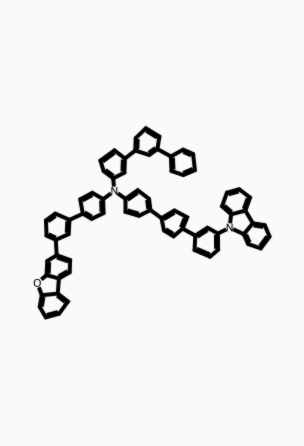 c1ccc(-c2cccc(-c3cccc(N(c4ccc(-c5ccc(-c6cccc(-n7c8ccccc8c8ccccc87)c6)cc5)cc4)c4ccc(-c5cccc(-c6ccc7c(c6)oc6ccccc67)c5)cc4)c3)c2)cc1